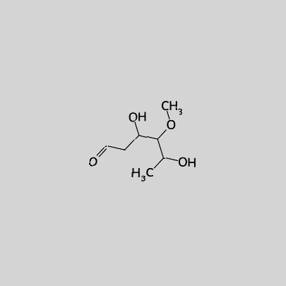 COC(C(C)O)C(O)CC=O